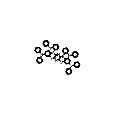 c1ccc(N(c2ccccc2)c2cc3c4c(c2)N(c2ccccc2)c2ccccc2B4c2nc4c(nc2S3)Sc2cc(N(c3ccccc3)c3ccccc3)cc3c2B4c2ccccc2N3c2ccccc2)cc1